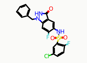 O=c1[nH]n(Cc2ccccc2)c2cc(F)c(NS(=O)(=O)c3cc(Cl)ccc3F)cc12